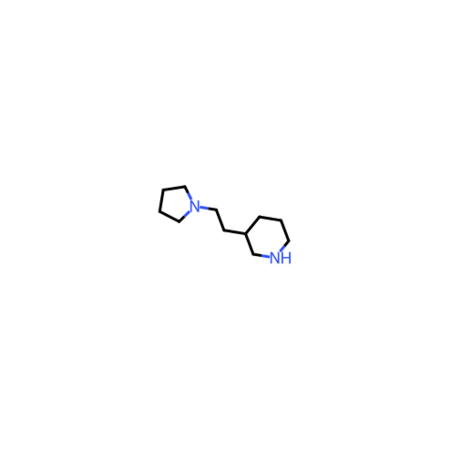 C1CNCC(CCN2CCCC2)C1